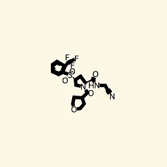 N#CCNC(=O)[C@@H]1C[C@@H](S(=O)(=O)c2ccccc2C(F)(F)F)CN1C(=O)C1CCOCC1